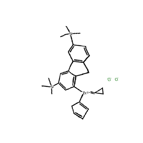 C[Si](C)(C)c1ccc2c(c1)-c1cc([Si](C)(C)C)c[c]([Zr+2]([C]3=CC=CC3)=[C]3CC3)c1C2.[Cl-].[Cl-]